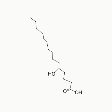 CCCCCCCCCCC(O)CCCC(=O)O